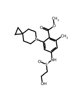 COC(=O)c1c(C)cc(N[S+]([O-])CCO)cc1N1CCC2(CC1)CC2